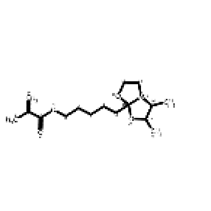 C=C(C)C(=O)OCCCCCC12OCCN1C(C)C(C)O2